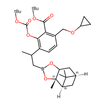 CC(CB1OC2C[C@H]3C[C@H](C3(C)C)[C@]2(C)O1)c1ccc(COC2CC2)c(C(=O)OC(C)(C)C)c1OC(=O)OC(C)(C)C